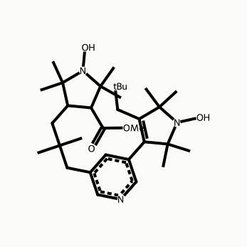 COC(=O)C1C(CC(C)(C)Cc2cncc(C3=C(CC(C)(C)C)C(C)(C)N(O)C3(C)C)c2)C(C)(C)N(O)C1(C)C